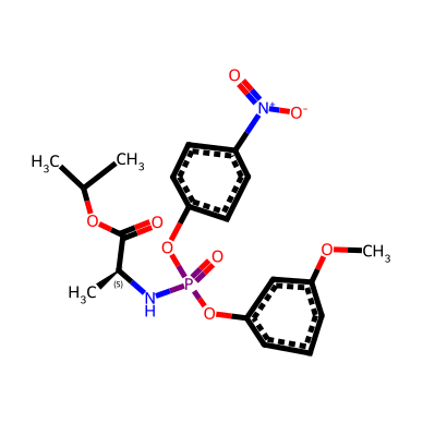 COc1cccc(OP(=O)(N[C@@H](C)C(=O)OC(C)C)Oc2ccc([N+](=O)[O-])cc2)c1